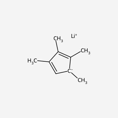 Cc1c[c-](C)c(C)c1C.[Li+]